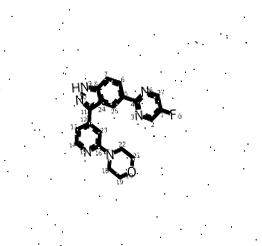 Fc1cnc(-c2ccc3[nH]nc(-c4ccnc(N5CCOCC5)c4)c3c2)nc1